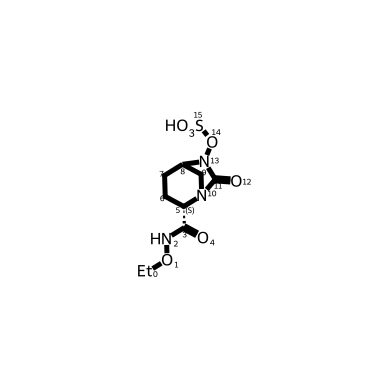 CCONC(=O)[C@@H]1CCC2CN1C(=O)N2OS(=O)(=O)O